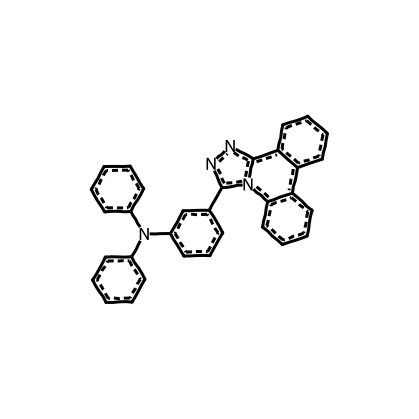 c1ccc(N(c2ccccc2)c2cccc(-c3nnc4c5ccccc5c5ccccc5n34)c2)cc1